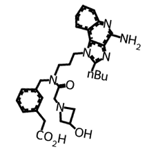 CCCCc1nc2c(N)nc3ccccc3c2n1CCCN(Cc1cccc(CC(=O)O)c1)C(=O)CN1CC(O)C1